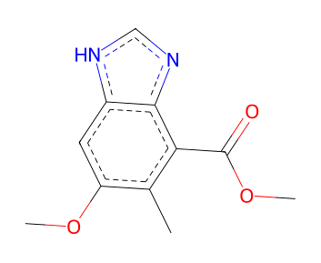 COC(=O)c1c(C)c(OC)cc2[nH]cnc12